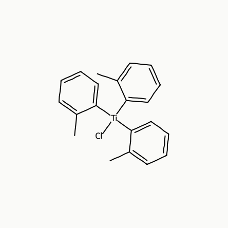 Cc1cccc[c]1[Ti]([Cl])([c]1ccccc1C)[c]1ccccc1C